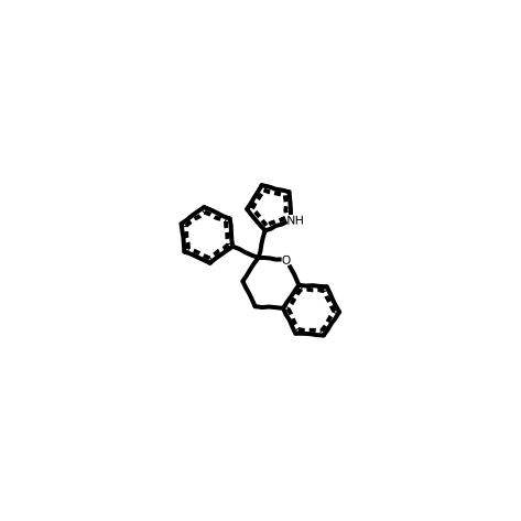 c1ccc(C2(c3ccc[nH]3)CCc3ccccc3O2)cc1